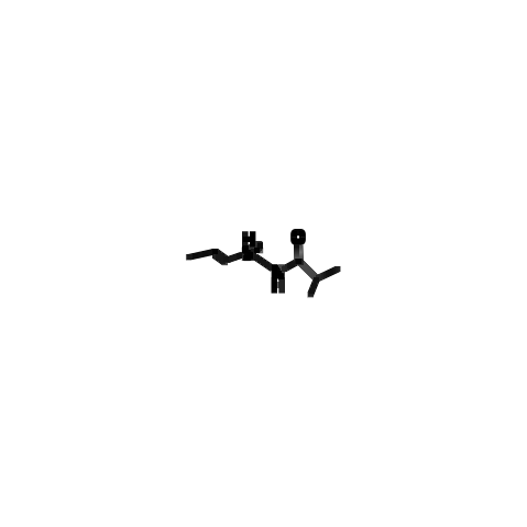 CC=C[SiH2]NC(=O)C(C)C